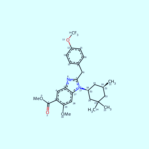 COC(=O)c1cc2nc(Cc3ccc(OC(F)(F)F)cc3)n([C@H]3C[C@@H](C)CC(C)(C)C3)c2cc1OC